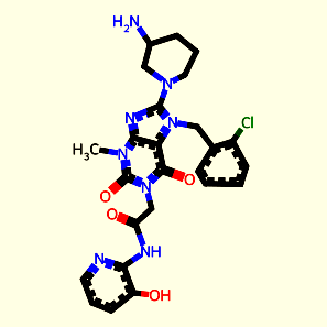 Cn1c(=O)n(CC(=O)Nc2ncccc2O)c(=O)c2c1nc(N1CCCC(N)C1)n2Cc1ccccc1Cl